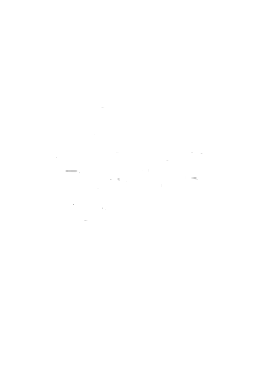 c1ccc(-c2cccc(-c3nc4ccccc4nc3-c3ccc4ccc5c6ccccc6ccc5c4c3)c2)cc1